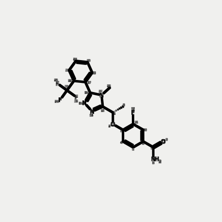 C[C@H](Oc1ccc(C(N)=O)cc1F)c1nnc(-c2ccccc2C(F)(F)F)n1C